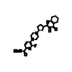 CNC(=O)c1ccc(N2CCN(C3CCC(c4nc5c(c(=O)[nH]4)CCCC5)C3)CC2)c(F)n1